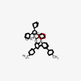 Cc1ccc(-c2ccc3c(c2)c2cc(-c4ccc(C)cc4)ccc2n3-c2cccc(C)c2C(=O)N(C=O)c2c(-c3ccccc3)cc(-c3ccccc3)cc2-c2ccccc2)cc1